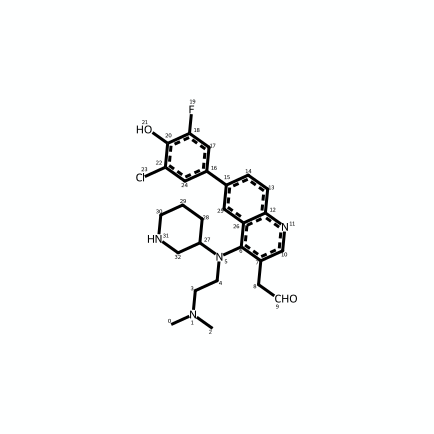 CN(C)CCN(c1c(CC=O)cnc2ccc(-c3cc(F)c(O)c(Cl)c3)cc12)C1CCCNC1